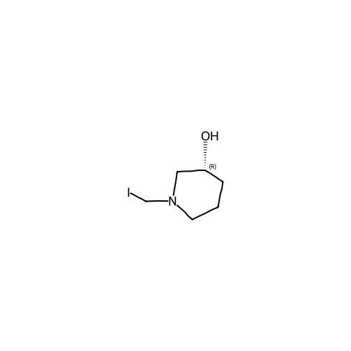 O[C@@H]1CCCN(CI)C1